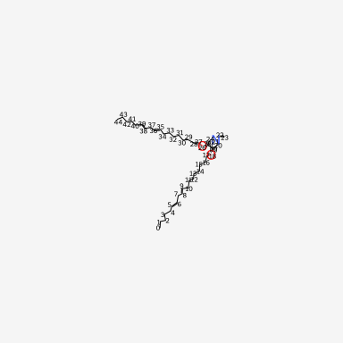 CCCCCC=CCC=CCCCCCCCCO[C@@H]1CN(CC)C[C@H]1OCCCCCCCCC=CCC=CCCCCC